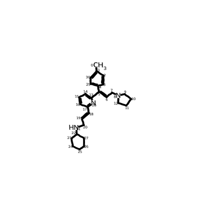 Cc1ccc(/C(=C\CN2CCCC2)c2cccc(C=CCNC3CCCCC3)n2)cc1